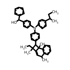 CCC(C)c1ccc(N(c2ccc(C(O)c3ccccc3)cc2)c2ccc(C3C(C)(CC)C4=CC(C)c5ccccc5C43C)cc2)cc1